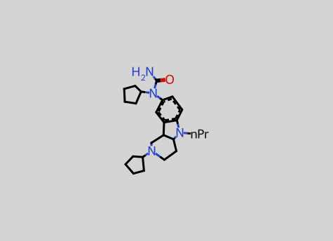 CCCN1c2ccc(N(C(N)=O)C3CCCC3)cc2C2CN(C3CCCC3)CCC21